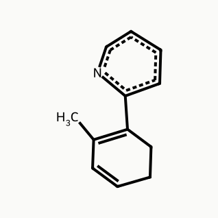 CC1=C(c2ccccn2)CCC=C1